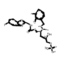 CC(=O)N(NCc1cccc(F)c1Cl)[C@H](COC(=O)Nc1nc2ccc(F)cc2s1)C[C@@H](O)COP(=O)(O)O